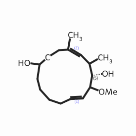 COC1/C=C/CCCCC(O)CC/C(C)=C\C(C)[C@@H]1O